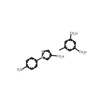 Cc1cc(C(=O)O)cc(C(=O)O)c1.O=C(O)c1cnn(-c2ccc([N+](=O)[O-])cc2)c1